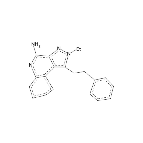 CCn1nc2c(N)nc3ccccc3c2c1CCc1ccccc1